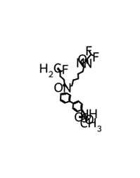 C=C(F)CCC(=O)N(CCCCCc1noc(C(F)F)n1)c1cccc(-c2ccc(NS(C)(=O)=O)cc2)c1